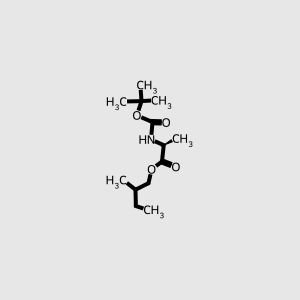 CCC(C)COC(=O)[C@H](C)NC(=O)OC(C)(C)C